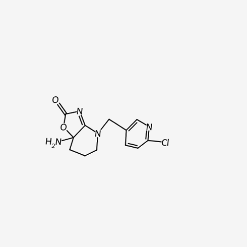 NC12CCCN(Cc3ccc(Cl)nc3)C1=NC(=O)O2